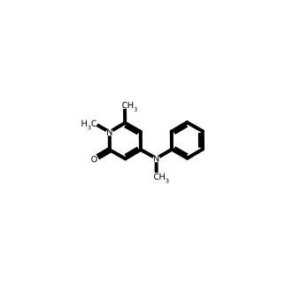 Cc1cc(N(C)c2ccccc2)cc(=O)n1C